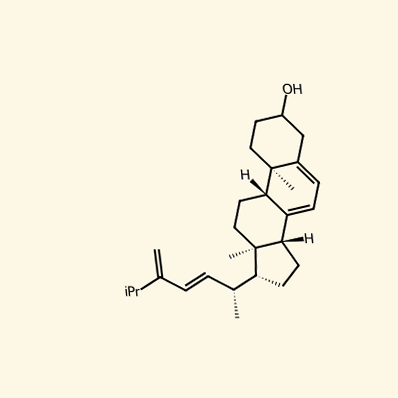 C=C(/C=C/[C@@H](C)[C@H]1CC[C@H]2C3=CC=C4CC(O)CC[C@]4(C)[C@H]3CC[C@]12C)C(C)C